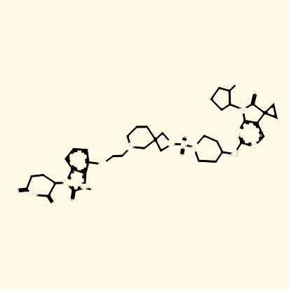 CC1CCCC1N1C(=O)C2(CC2)c2cnc(NC3CCN(S(=O)(=O)N4CC5(CCCN(CCOc6cccc7c6n(C)c(=O)n7C6CCC(=O)NC6=O)C5)C4)CC3)nc21